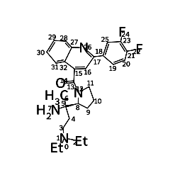 CCN(CC)CCC(C)(N)[C@@H]1CCCN1C(=O)c1cc(-c2ccc(F)c(F)c2)nc2ccccc12